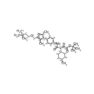 Cc1nn(COCC[Si](C)(C)C)c(C)c1-c1ccc(NC(=O)C(NC(=O)OC(C)(C)C)C2CCC(C)CC2)cc1